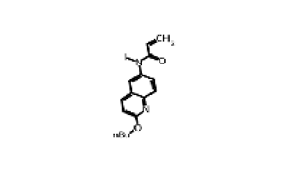 C=CC(=O)N(I)c1ccc2nc(OCCCC)ccc2c1